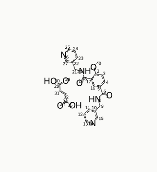 COc1ccc(C(=O)NCc2cccnc2)cc1C(=O)NCc1cccnc1.O=C(O)C=CC(=O)O